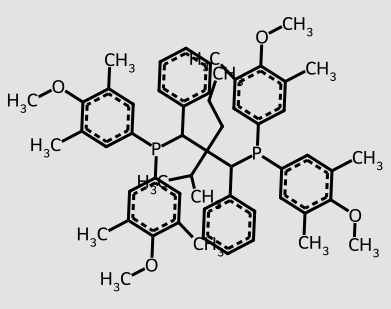 CCCC(C(C)C)(C(c1ccccc1)P(c1cc(C)c(OC)c(C)c1)c1cc(C)c(OC)c(C)c1)C(c1ccccc1)P(c1cc(C)c(OC)c(C)c1)c1cc(C)c(OC)c(C)c1